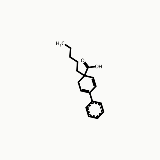 CCCCCC1(C(=O)O)C=CC(c2ccccc2)=CC1